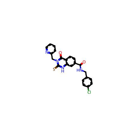 O=C(NCc1ccc(Cl)cc1)c1ccc2c(=O)n(Cc3ccccn3)c(=S)[nH]c2c1